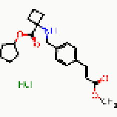 COC(=O)C=Cc1ccc(CNC2(C(=O)OC3CCCC3)CCC2)cc1.Cl